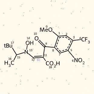 COc1cc(C(F)(F)F)c([N+](=O)[O-])cc1C(=O)/C(=C\N(O)C(C)C(C)(C)C)C(=O)O